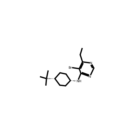 CCc1ncnc(N[C@H]2CC[C@@H](C(C)(C)C)CC2)c1Br